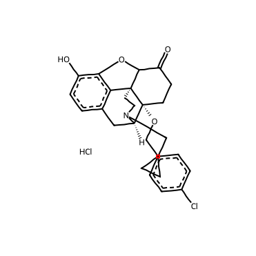 Cl.O=C1CC[C@@]2(OCc3ccc(Cl)cc3)[C@H]3Cc4ccc(O)c5c4[C@@]2(CCN3CC2CC2)C1O5